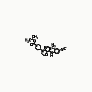 [C-]#[N+]c1ccc(Nc2ncnc3c2OCCN3C2CCN(C(=O)OC(C)C)CC2)c(C)c1